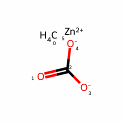 C.O=C([O-])[O-].[Zn+2]